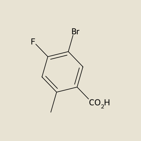 Cc1cc(F)c(Br)cc1C(=O)O